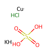 Cl.O=S(=O)(O)O.[Cu].[KH]